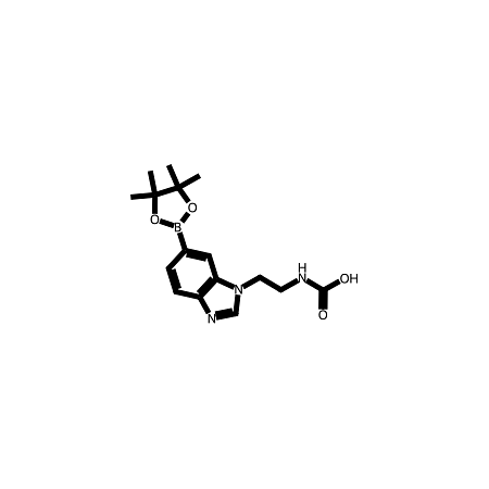 CC1(C)OB(c2ccc3ncn(CCNC(=O)O)c3c2)OC1(C)C